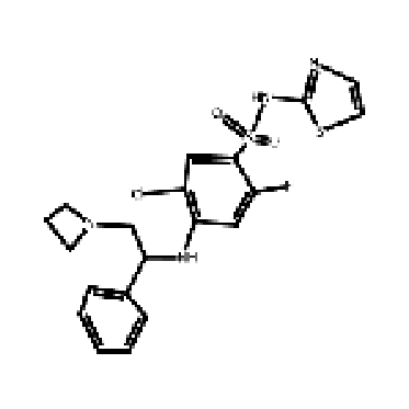 O=S(=O)(Nc1nccs1)c1cc(Cl)c(NC(CN2CCC2)c2ccccc2)cc1F